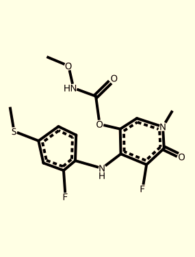 CONC(=O)Oc1cn(C)c(=O)c(F)c1Nc1ccc(SC)cc1F